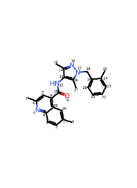 Cc1ccc2nc(C)cc(C(=O)Nc3c(C)nn(Cc4ccccc4C)c3C)c2c1